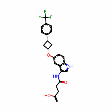 C=C(O)CCC(=O)Nc1c[nH]c2ccc(O[C@H]3C[C@@H](c4ccc(C(F)(F)F)cc4)C3)cc12